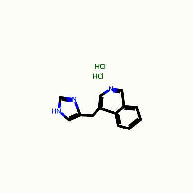 Cl.Cl.c1ccc2c(Cc3c[nH]cn3)cncc2c1